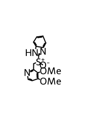 COc1ccnc(C[S+]([O-])c2nc3ccccc3[nH]2)c1OC